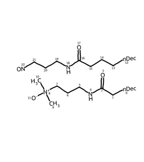 CCCCCCCCCCCC(=O)NCCC[N+](C)(C)[O-].CCCCCCCCCCCCCC(=O)NCCCN=O